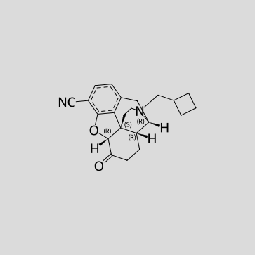 N#Cc1ccc2c3c1O[C@H]1C(=O)CC[C@H]4[C@@H](C2)N(CC2CCC2)CC[C@]314